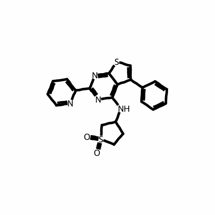 O=S1(=O)CCC(Nc2nc(-c3ccccn3)nc3scc(-c4ccccc4)c23)C1